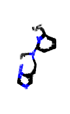 CC(C)N(Cc1cnc[nH]1)c1cccc(C(F)(F)F)n1